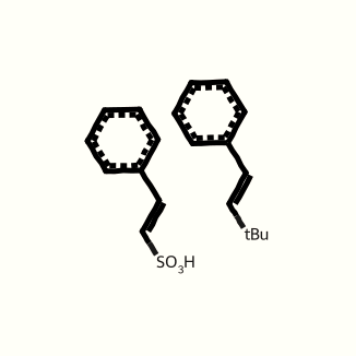 CC(C)(C)C=Cc1ccccc1.O=S(=O)(O)C=Cc1ccccc1